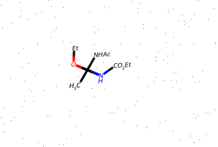 CCOC(=O)NC(C)(NC(C)=O)OCC